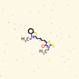 CCN1C(=O)\C(=C/C=C/C=C2\Sc3ccccc3N2CC)SC1=S